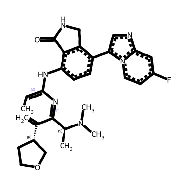 C=C(/C(=N\C(=C/C)Nc1ccc(-c2cnc3cc(F)ccn23)c2c1C(=O)NC2)[C@H](C)N(C)C)[C@H]1CCOC1